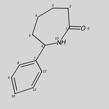 O=C1CCCCC(c2ccccc2)N1